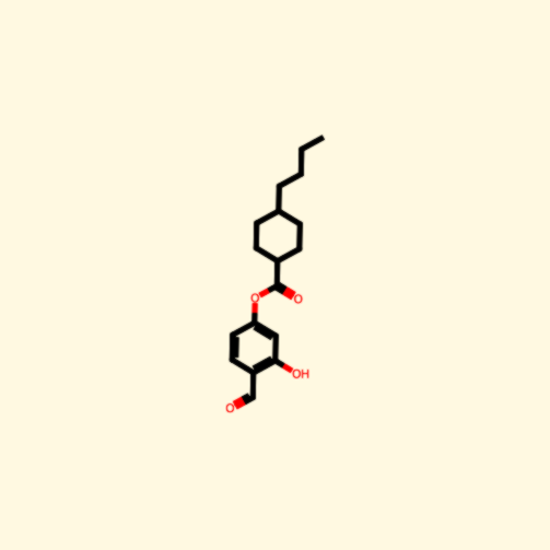 CCCCC1CCC(C(=O)Oc2ccc(C=O)c(O)c2)CC1